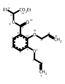 C=CCOc1cccc(C(=O)OC(CC)C(=O)OCC)c1OCC=C